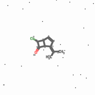 CC(C)=C1C=CC2C(Cl)C(=O)C12